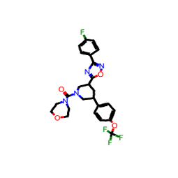 O=C(N1CCOCC1)N1CC(c2ccc(OC(F)(F)F)cc2)CC(c2nc(-c3ccc(F)cc3)no2)C1